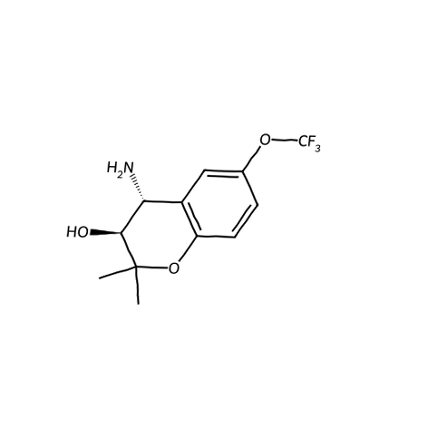 CC1(C)Oc2ccc(OC(F)(F)F)cc2[C@@H](N)[C@@H]1O